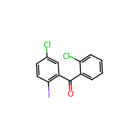 O=C(c1ccccc1Cl)c1cc(Cl)ccc1I